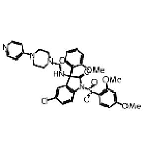 COc1ccc(S(=O)(=O)N2C(=O)C(NC(=O)N3CCN(c4ccncc4)CC3)(c3ccccc3OC)c3cc(Cl)ccc32)c(OC)c1